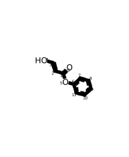 O=C(C=CO)Oc1ccccc1